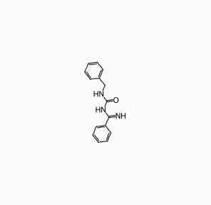 N=C(NC(=O)NCc1ccccc1)c1ccccc1